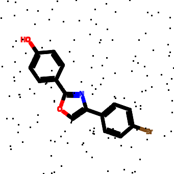 Oc1ccc(-c2nc(-c3ccc(Br)cc3)co2)cc1